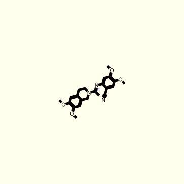 COc1cc(C#N)c(/N=C(\C)N2CCc3cc(OC)c(OC)cc3C2)cc1OC